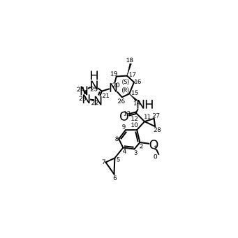 COc1cc(C2CC2)ccc1C1(C(=O)N[C@@H]2C[C@H](C)CN(c3nnn[nH]3)C2)CC1